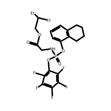 CCC(CC)COC(=O)CNP(=O)(Oc1cccc2c1CCCC2)Oc1c(F)c(F)c(F)c(F)c1F